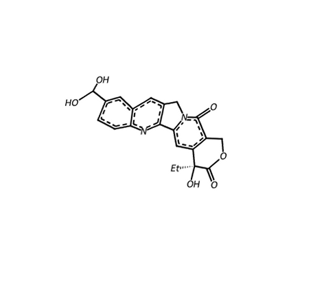 CC[C@@]1(O)C(=O)OCc2c1cc1n(c2=O)Cc2cc3cc(C(O)O)ccc3nc2-1